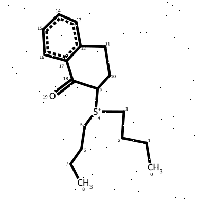 CCCC[S+](CCCC)C1CCc2ccccc2C1=O